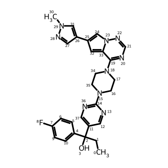 CCC(O)(c1ccc(F)cc1)c1cnc(N2CCN(c3ncnn4cc(-c5cnn(C)c5)cc34)CC2)nc1